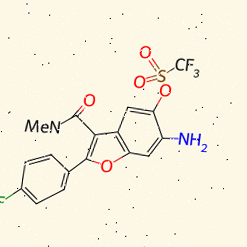 CNC(=O)c1c(-c2ccc(F)cc2)oc2cc(N)c(OS(=O)(=O)C(F)(F)F)cc12